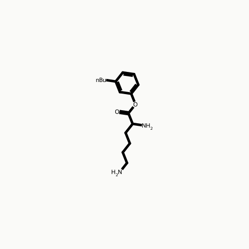 CCCCc1cccc(OC(=O)C(N)CCCCN)c1